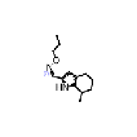 CCCO/N=C\c1cc2c([nH]1)C(C)CCC2